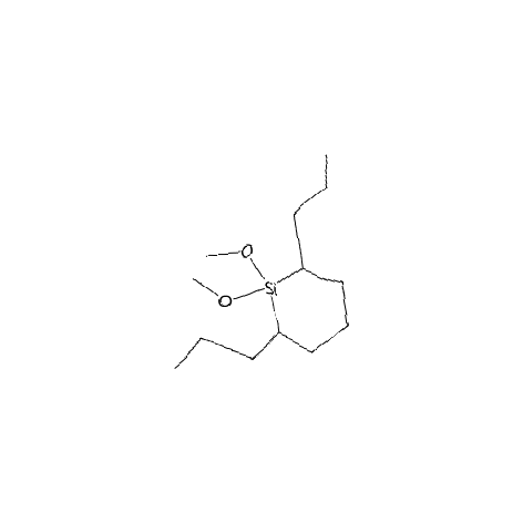 CCCC1CCCC(CCC)[Si]1(OC)OC